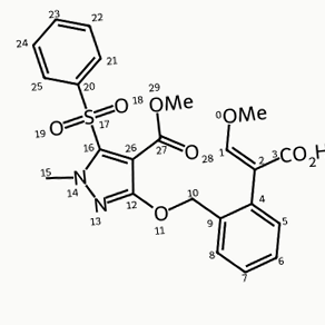 COC=C(C(=O)O)c1ccccc1COc1nn(C)c(S(=O)(=O)c2ccccc2)c1C(=O)OC